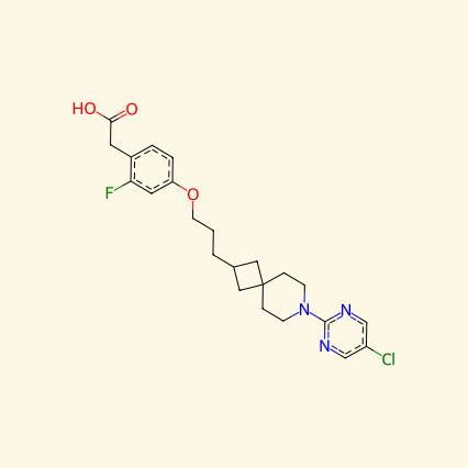 O=C(O)Cc1ccc(OCCCC2CC3(CCN(c4ncc(Cl)cn4)CC3)C2)cc1F